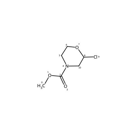 COC(=O)N1C[CH]OC(Cl)C1